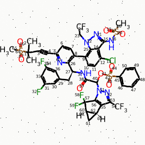 CC(C)(C#Cc1ccc(-c2ccc(Cl)c3c(NS(C)(=O)=O)nn(CC(F)(F)F)c23)c([C@H](Cc2cc(F)cc(F)c2)NC(=O)C(OS(=O)(=O)c2ccccc2)n2nc(C(F)(F)F)c3c2C(F)(F)[C@@H]2C[C@H]32)n1)S(C)(=O)=O